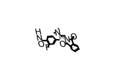 CNC(=O)c1ccc(C[C@@H](CN2C(=O)c3ccccc3C2=O)N(C)C)cc1F